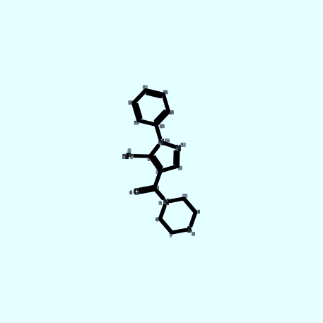 CCCc1c(C(=O)N2CCSCC2)cnn1-c1ccccc1